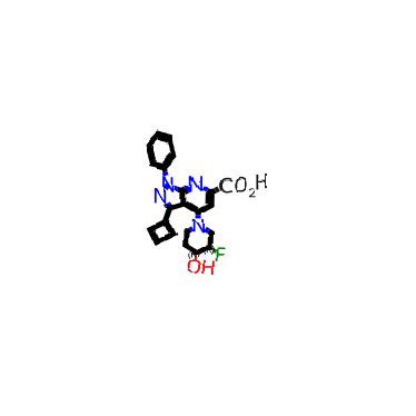 O=C(O)c1cc(N2CC[C@@H](O)[C@H](F)C2)c2c(C3CCC3)nn(-c3ccccc3)c2n1